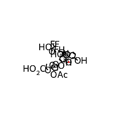 CC(=O)OC(CC(=O)OC1=CC[C@@]2(O)[C@H]3Cc4ccc(O)c5c4[C@@]2(CCN3C)[C@H]1O5)C(=O)OC(C)C(=O)O.O=C(O)C(F)(F)F